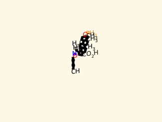 C#CC#CC#CCO/N=C(/C)[C@@H]1CC[C@]2(C(=O)O)CC[C@]3(C)C(CCC4[C@@]5(C)CC[C@H](OP)C(C)(C)C5CC[C@]43C)C12